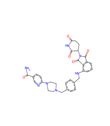 NC(=O)c1ccc(N2CCN(Cc3ccc(CNc4cccc5c4C(=O)N(C4CCC(=O)NC4=O)C5=O)cc3)CC2)nc1